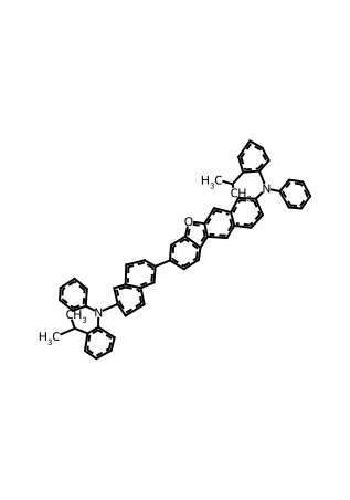 CC(C)c1ccccc1N(c1ccccc1)c1ccc2cc(-c3ccc4c(c3)oc3cc5cc(N(c6ccccc6)c6ccccc6C(C)C)ccc5cc34)ccc2c1